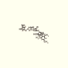 Cc1cc(C)c(S(=O)(=O)NC(CNC(=O)C2CC(CCCc3c[nH]c(N)n3)NO2)C(=O)O)c(C)c1